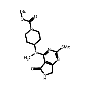 CSc1nc2c(c(N(C)C3CCN(C(=O)OC(C)(C)C)CC3)n1)C(=O)NC2